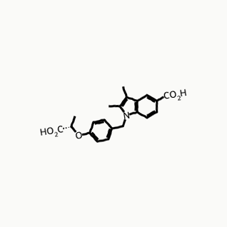 Cc1c(C)n(Cc2ccc(O[C@@H](C)C(=O)O)cc2)c2ccc(C(=O)O)cc12